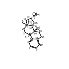 C[C@]12CC[C@]3(C)c4ccccc4CC[C@H]3[C@@H]1C[C@@H](O)C2